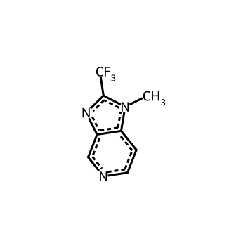 Cn1c(C(F)(F)F)nc2cnccc21